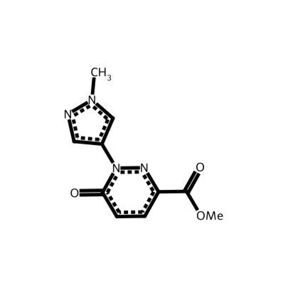 COC(=O)c1ccc(=O)n(-c2cnn(C)c2)n1